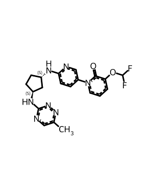 Cc1cnc(N[C@H]2CC[C@H](Nc3ccc(-n4cccc(OC(F)F)c4=O)cn3)C2)nn1